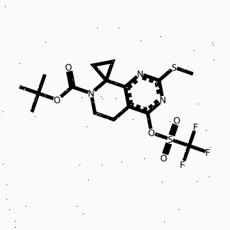 CSc1nc(OS(=O)(=O)C(F)(F)F)c2c(n1)C1(CC1)N(C(=O)OC(C)(C)C)CC2